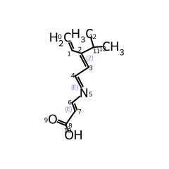 C=C\C(=C/C=N/C=C/C(=O)O)C(C)C